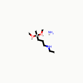 CCNCCC[Si](C)(OC)OC.N